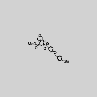 COC(=O)[C@H](CNS(=O)(=O)c1ccc(OCc2ccc(C(C)(C)C)cc2)cc1)N1CCOCC1